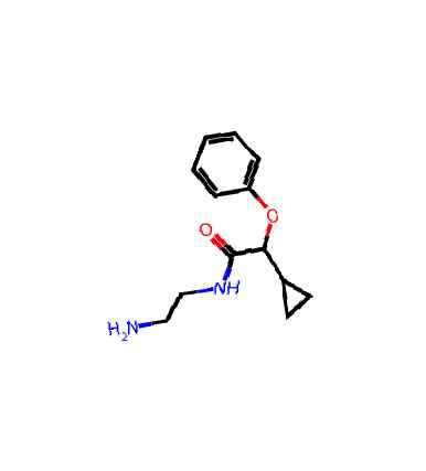 NCCNC(=O)C(Oc1ccccc1)C1CC1